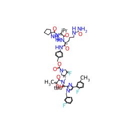 Cc1ccc(F)c(-c2cn(Cc3cccc(F)c3)c([C@H](N(C[C@@H]3CN(C(=O)OCc4ccc(NC(=O)[C@H](CCCNC(N)=O)NC(=O)[C@@H](NC(=O)C5(N)CCCC5)C(C)C)cc4)C[C@@H]3F)C(=O)[C@H](C)O)C(C)(C)C)n2)c1